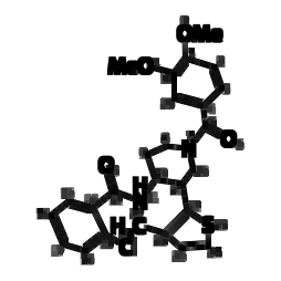 COc1ccc(C(=O)N2CCC(NC(=O)c3ccccc3Cl)C(c3sccc3C)C2)cc1OC